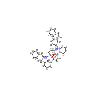 c1ccc(-c2ccccc2N(c2ccc(-n3c4ccccc4c4cc5ccccc5cc43)cc2)c2ccc3c(ccc4ccccc43)c2)cc1